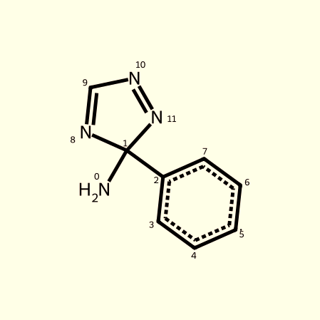 NC1(c2cc[c]cc2)N=CN=N1